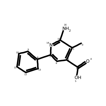 Cc1c(C(=O)O)cc(-c2ccccc2)nc1N